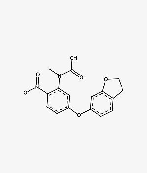 CN(C(=O)O)c1cc(Oc2ccc3c(c2)OCC3)ccc1[N+](=O)[O-]